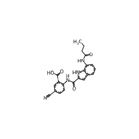 CCCC(=O)Nc1cccc2cc(C(=O)Nc3ccc(C#N)cc3C(=O)O)[nH]c12